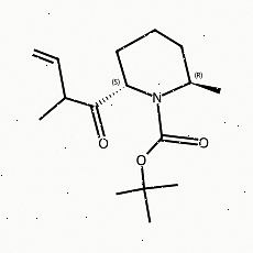 C=CC(C)C(=O)[C@@H]1CCC[C@@H](C)N1C(=O)OC(C)(C)C